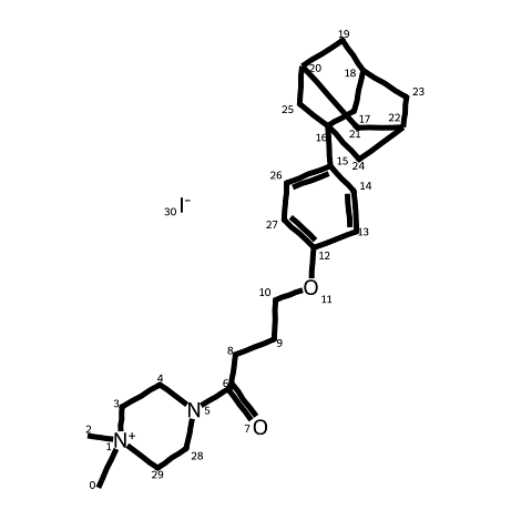 C[N+]1(C)CCN(C(=O)CCCOc2ccc(C34CC5CC(CC(C5)C3)C4)cc2)CC1.[I-]